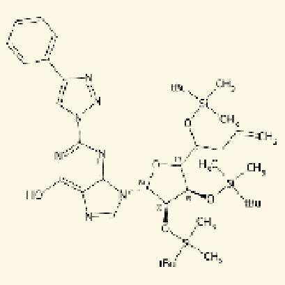 C=CCC(O[Si](C)(C)C(C)(C)C)[C@H]1O[C@@H](n2cnc3c(O)nc(-n4cc(-c5ccccc5)nn4)nc32)[C@H](O[Si](C)(C)C(C)(C)C)[C@@H]1O[Si](C)(C)C(C)(C)C